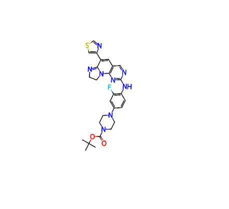 CC(C)(C)OC(=O)N1CCN(c2ccc(Nc3ncc4c(n3)N3CCN=C3C(c3cscn3)=C4)c(F)c2)CC1